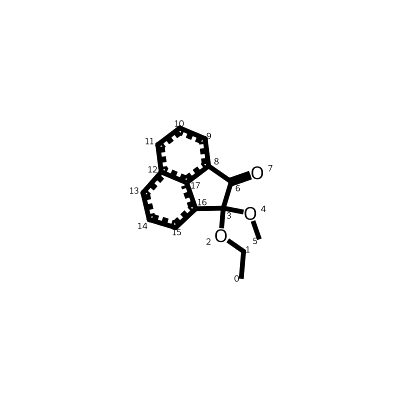 CCOC1(OC)C(=O)c2cccc3cccc1c23